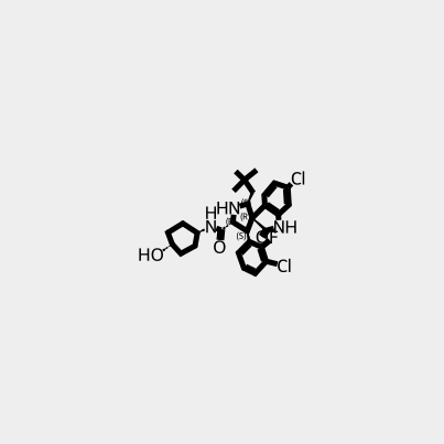 CC(C)(C)C[C@@H]1N[C@@H](C(=O)N[C@H]2CC[C@@H](O)CC2)[C@H](c2cccc(Cl)c2F)[C@]12C(=O)Nc1cc(Cl)ccc12